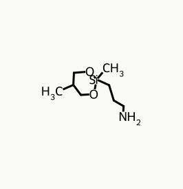 CC1CO[Si](C)(CCCN)OC1